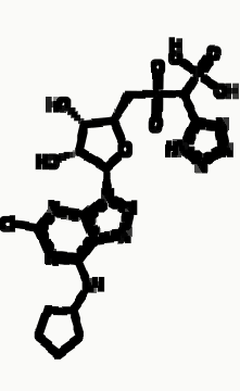 O=P(O)(O)C(c1nnn[nH]1)S(=O)(=O)C[C@H]1O[C@@H](n2nnc3c(NC4CCCC4)nc(Cl)nc32)[C@H](O)[C@@H]1O